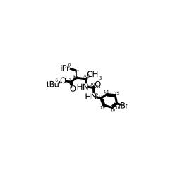 CC(C)C[C@H](C(=O)OC(C)(C)C)[C@@H](C)NC(=O)Nc1ccc(Br)cc1